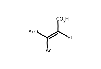 CCC(C(=O)O)=C(OC(C)=O)C(C)=O